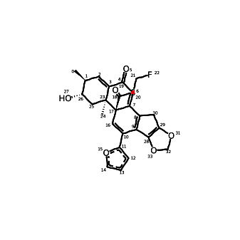 C[C@H]1C=C2C(=O)C=C3C4=C(C(c5ccco5)=C[C@]3(C(=O)SCF)[C@@]2(C)C[C@@H]1O)C1=C(C4)OCO1